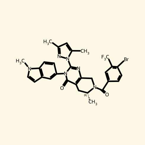 Cc1cc(C)n(-c2nc3c(c(=O)n2-c2ccc4c(ccn4C)c2)C[C@@H](C)N(C(=O)c2ccc(Br)c(C(F)(F)F)c2)C3)n1